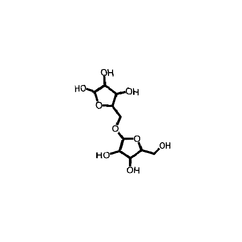 OCC1OC(OCC2OC(O)C(O)C2O)C(O)C1O